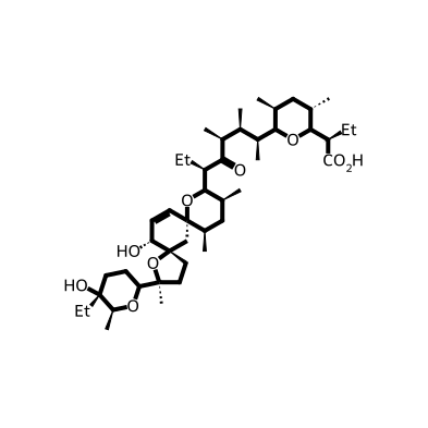 CC[C@@H](C(=O)O)C1OC([C@@H](C)[C@H](C)[C@H](C)C(=O)[C@H](CC)C2O[C@]3(C=C[C@@H](O)[C@]4(CC[C@@](C)(C5CC[C@](O)(CC)[C@H](C)O5)O4)C3)[C@H](C)C[C@@H]2C)[C@@H](C)C[C@@H]1C